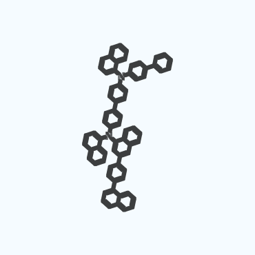 c1ccc(-c2ccc(N(c3ccc(-c4ccc(N(c5cccc6ccccc56)c5cc(-c6ccc(-c7cccc8ccccc78)cc6)cc6ccccc56)cc4)cc3)c3cccc4ccccc34)cc2)cc1